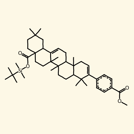 COC(=O)c1ccc(C2=CCC3(C)C(CCC4(C)C3CC=C3C5CC(C)(C)CCC5(C(=O)O[Si](C)(C)C(C)(C)C)CCC34C)C2(C)C)cc1